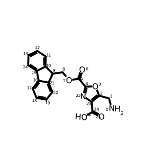 NCc1oc(C(=O)OCC2c3ccccc3-c3ccccc32)nc1C(=O)O